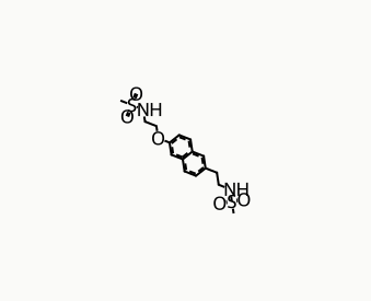 CS(=O)(=O)NCCOc1ccc2cc(CCNS(C)(=O)=O)ccc2c1